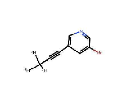 [2H]C([2H])([2H])C#Cc1cncc(Br)c1